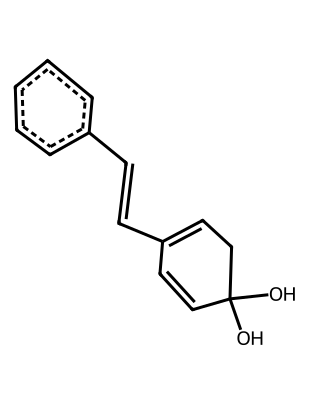 OC1(O)C=CC(C=Cc2ccccc2)=CC1